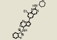 CCc1cc(-c2ccc3c(NS(=O)(=O)c4ccccc4F)ncnn23)cc2cnc(N[C@H]3CCCNC3)nc12